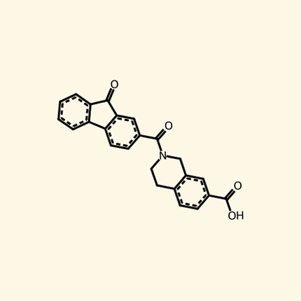 O=C(O)c1ccc2c(c1)CN(C(=O)c1ccc3c(c1)C(=O)c1ccccc1-3)CC2